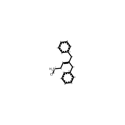 Cl[SiH2]CC=C(Cc1ccccc1)Cc1ccccc1